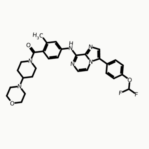 Cc1cc(Nc2nccn3c(-c4ccc(OC(F)F)cc4)cnc23)ccc1C(=O)N1CCC(N2CCOCC2)CC1